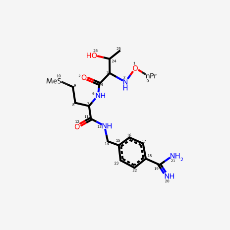 CCCONC(C(=O)NC(CCSC)C(=O)NCc1ccc(C(=N)N)cc1)C(C)O